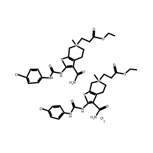 CCOC(=O)CC[N+]1(C)CCc2c(sc(NC(=O)Nc3ccc(Cl)cc3)c2C(N)=O)C1.CCOC(=O)CC[N+]1(C)CCc2c(sc(NC(=O)Nc3ccc(Cl)cc3)c2C(N)=O)C1.[Cl-].[I-]